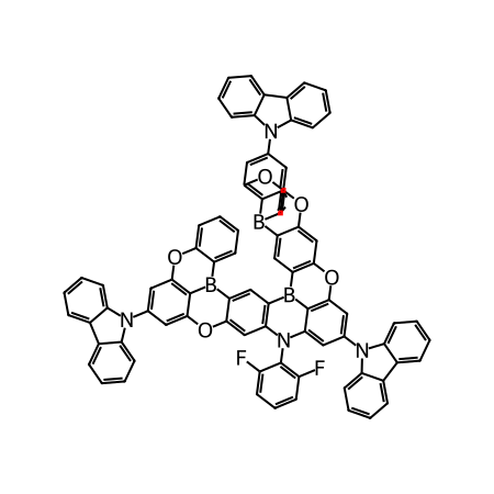 Fc1cccc(F)c1N1c2cc3c(cc2B2c4cc5c(cc4Oc4cc(-n6c7ccccc7c7ccccc76)cc1c42)Oc1cc(-n2c4ccccc4c4ccccc42)cc2c1B5c1ccccc1O2)B1c2ccccc2Oc2cc(-n4c5ccccc5c5ccccc54)cc(c21)O3